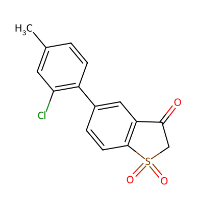 Cc1ccc(-c2ccc3c(c2)C(=O)CS3(=O)=O)c(Cl)c1